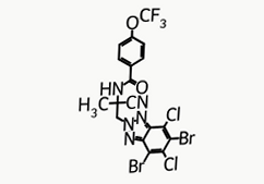 CC(C#N)(Cn1nc2c(Cl)c(Br)c(Cl)c(Br)c2n1)NC(=O)c1ccc(OC(F)(F)F)cc1